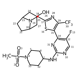 CS(=O)(=O)N1CCC(Nc2ncc(F)c(-c3sc(CN4C5CCC4CC(O)C5)nc3C(F)(F)F)n2)CC1